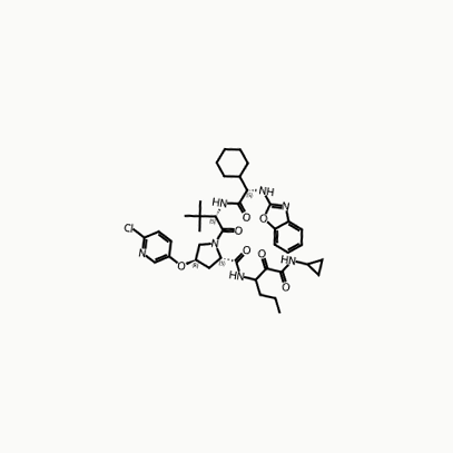 CCCC(NC(=O)[C@@H]1C[C@@H](Oc2ccc(Cl)nc2)CN1C(=O)[C@@H](NC(=O)[C@@H](Nc1nc2ccccc2o1)C1CCCCC1)C(C)(C)C)C(=O)C(=O)NC1CC1